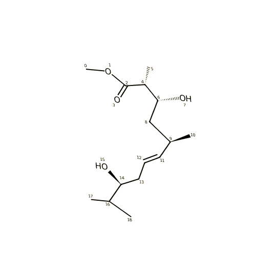 COC(=O)[C@H](C)[C@H](O)C[C@@H](C)/C=C/C[C@H](O)C(C)C